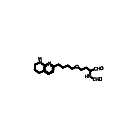 O=CNC(C=O)CCOCCCCc1ccc2c(n1)NCCC2